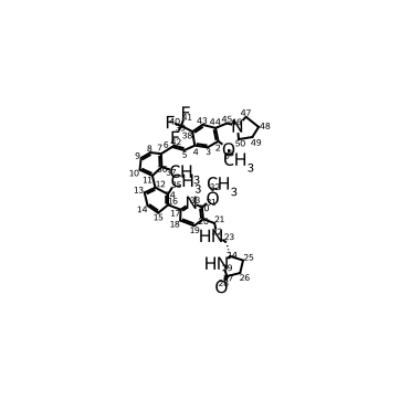 COc1cc(/C=C/c2cccc(-c3cccc(-c4ccc(CNC[C@@H]5CCC(=O)N5)c(OC)n4)c3C)c2C)c(C(F)(F)F)cc1CN1CCCC1